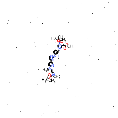 COC(=O)CC1CN(Cc2cccc(Nc3nccc(-c4ccc(N(C)CCCN(C)C(=O)OC(C)(C)C)nc4)n3)c2)CCN1C(=O)OC(C)(C)C